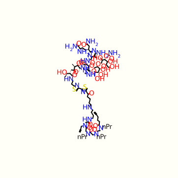 C#CCCCC(=O)N(CCC)CC(=O)N(CCC)CC(=O)N(CCC)CC(=O)N(CC#C)CC(=O)NCCCCNCCCCC(=O)c1csc(-c2csc(CCNC(=O)[C@@H](CC(=O)[C@@H](C)[C@H](O)[C@@H](C)NC(=O)[C@@H](NC(=O)c3nc([C@@H](CC[C@H](N)C(N)=O)CC(N)=O)nc(N)c3C)[C@@H](O[C@@H]3OC(CO)C(O)[C@@H](O)C3O[C@H]3OC(CO)[C@@H](O)[C@@H](OC(N)=O)C3O)c3c[nH]cn3)[C@@H](C)O)n2)n1